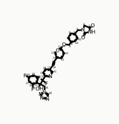 O=C1CN(Cc2ccc(COc3ccc(C#Cc4ccc(C(F)(F)C(O)(Cn5cnnn5)c5ccc(F)cc5F)nc4)cc3)cc2)C(=O)N1